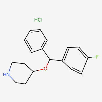 Cl.Fc1ccc(C(OC2CCNCC2)c2ccccc2)cc1